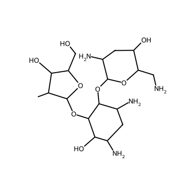 CC1C(OC2C(O)C(N)CC(N)C2OC2OC(CN)C(O)CC2N)OC(CO)C1O